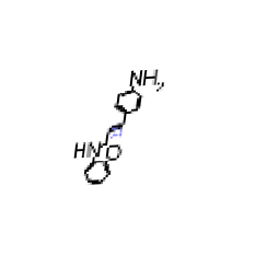 Nc1ccc(/C=C/C2Nc3ccccc3O2)cc1